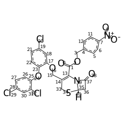 O=C(OCc1ccc([N+](=O)[O-])cc1)C1=C(COc2cc(Cl)ccc2Oc2ccc(Cl)cc2Cl)CS[C@H]2CC(=O)N12